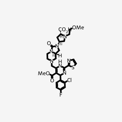 COCCN1C[C@@H](N2C[C@@H]3CN(CC4=C(C(=O)OC)C(c5ccc(F)cc5Cl)N=C(c5nccs5)N4)CCN3C2=O)C[C@@H]1C(=O)O